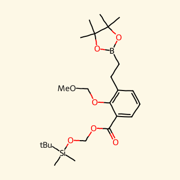 COCOc1c(CCB2OC(C)(C)C(C)(C)O2)cccc1C(=O)OCO[Si](C)(C)C(C)(C)C